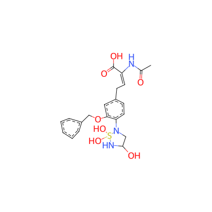 CC(=O)N/C(=C/Cc1ccc(N2CC(O)NS2(O)O)c(OCc2ccccc2)c1)C(=O)O